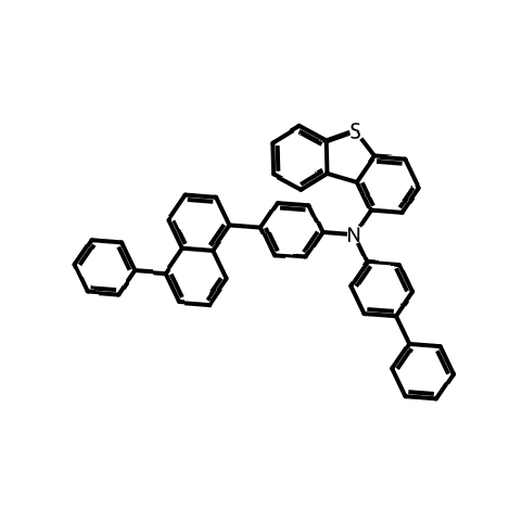 c1ccc(-c2ccc(N(c3ccc(-c4cccc5c(-c6ccccc6)cccc45)cc3)c3cccc4sc5ccccc5c34)cc2)cc1